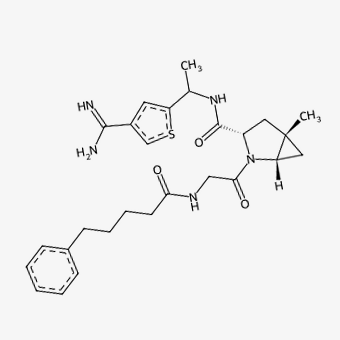 CC(NC(=O)[C@@H]1C[C@]2(C)C[C@@H]2N1C(=O)CNC(=O)CCCCc1ccccc1)c1cc(C(=N)N)cs1